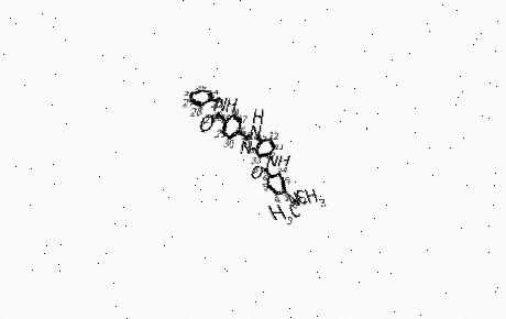 CN(C)c1ccc(C(=O)Nc2ccc3[nH]c(-c4ccc(C(=O)Nc5ccccc5)cc4)nc3c2)cc1